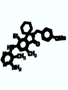 CCc1c(Nc2ncnc(N)c2C)cc(C)c2c1C1(CCCCC1)N(Cc1ccc(OC)cc1)C2=O